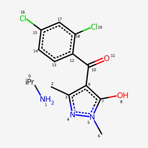 CC(C)N.Cc1nn(C)c(O)c1C(=O)c1ccc(Cl)cc1Cl